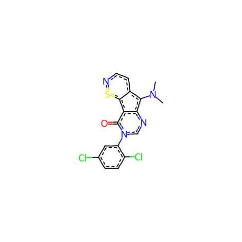 CN(C)c1c2ccnsc-2c2c(=O)n(-c3cc(Cl)ccc3Cl)cnc12